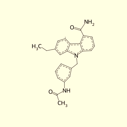 CCc1c[c]c2c3c(C(N)=O)cccc3n(Cc3cccc(NC(C)=O)c3)c2c1